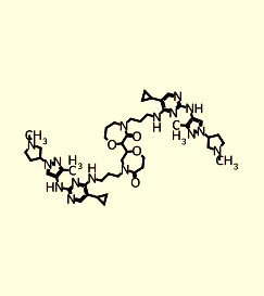 Cc1nn(C2CCN(C)C2)cc1Nc1ncc(C2CC2)c(NCCCN2CC(C3OCCCN(CCCNc4nc(Nc5cn(C6CCN(C)C6)nc5C)ncc4C4CC4)C3=O)OCCC2=O)n1